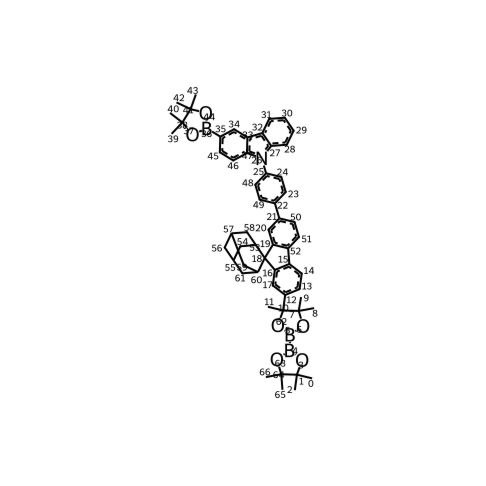 CC1(C)OB(B2OC(C)(C)C(C)(c3ccc4c(c3)C3(c5cc(-c6ccc(-n7c8ccccc8c8cc(B9OC(C)(C)C(C)(C)O9)ccc87)cc6)ccc5-4)C4CC5CC(C4)CC3C5)O2)OC1(C)C